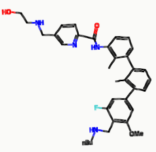 CCCCNCc1c(F)cc(-c2cccc(-c3cccc(NC(=O)c4ccc(CNCCO)cn4)c3C)c2C)cc1OC